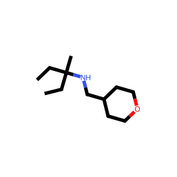 CCC(C)(CC)NCC1CCOCC1